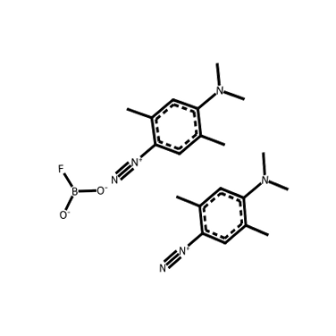 Cc1cc(N(C)C)c(C)cc1[N+]#N.Cc1cc(N(C)C)c(C)cc1[N+]#N.[O-]B([O-])F